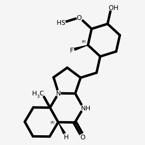 CC12CCCC[C@H]1C(=O)NC1C(CC3CCC(O)C(OS)[C@@H]3F)CCN12